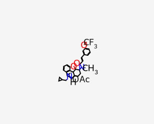 CC(=O)O[C@@]12CCC(N(C)C(=O)/C=C/c3cccc(OC(F)(F)F)c3)C3Oc4cccc5c4[C@@]31CCN(CC1CC1)[C@@H]2C5